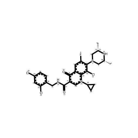 C[C@@H]1CN(c2c(F)cc3c(=O)c(C(=O)NCc4ccc(Cl)cc4Cl)cn(C4CC4)c3c2Cl)C[C@H](C)N1